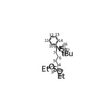 CCO[Si](C)(CCCCN(c1ccccc1)[Si](C)(C)C(C)(C)C)OCC